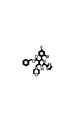 O=C(OCc1ccccc1)C1=C(CN2CCOCC2)NC(c2nccs2)=NC1c1ccc(F)cc1Br